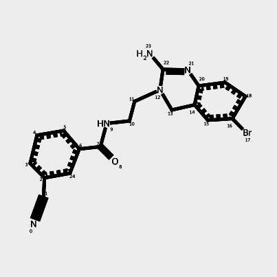 N#Cc1cccc(C(=O)NCCN2Cc3cc(Br)ccc3N=C2N)c1